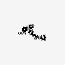 COc1cccc(C[C@@]2(Nc3cnc(/C=C/C(=O)NOC4CCCCO4)cn3)CCNC2)c1